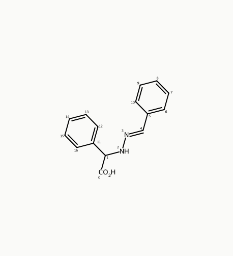 O=C(O)C(N/N=C/c1ccccc1)c1ccccc1